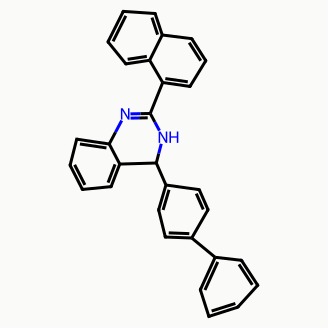 c1ccc(-c2ccc(C3NC(c4cccc5ccccc45)=Nc4ccccc43)cc2)cc1